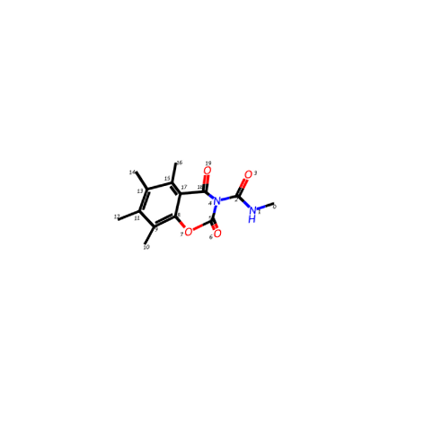 CNC(=O)n1c(=O)oc2c(C)c(C)c(C)c(C)c2c1=O